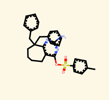 Cc1ccc(S(=O)(=O)Oc2nc(N)nc3c2CCCCC3(Cc2ccccc2)Cc2ccccc2)cc1